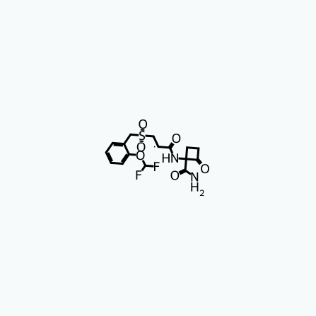 NC(=O)C1(NC(=O)[CH]CS(=O)(=O)Cc2ccccc2OC(F)F)CCC1=O